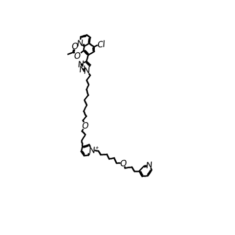 CC(=O)Oc1c(-c2cn(CCCCCCCCCCOCCCc3ccc[n+](CCCCCCOCCCc4cccnc4)c3)nn2)cc(Cl)c2cccnc12